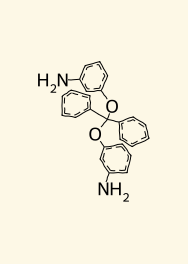 Nc1cccc(OC(Oc2cccc(N)c2)(c2ccccc2)c2ccccc2)c1